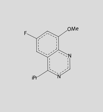 COc1cc(F)cc2c(C(C)C)ncnc12